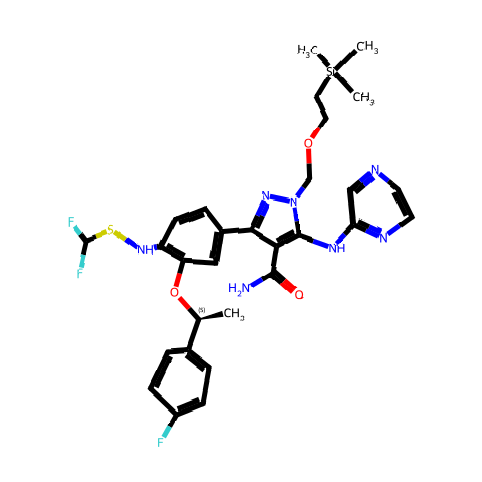 C[C@H](Oc1cc(-c2nn(COCC[Si](C)(C)C)c(Nc3cnccn3)c2C(N)=O)ccc1NSC(F)F)c1ccc(F)cc1